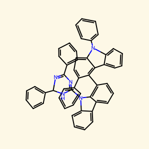 c1ccc(C2=NC(c3ccccc3)NC(n3c4ccccc4c4cccc(-c5c(-c6ccccc6)ccc6c5c5ccccc5n6-c5ccccc5)c43)=N2)cc1